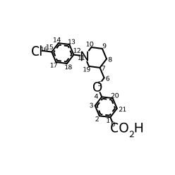 O=C(O)c1ccc(OCC2CCCN(c3ccc(Cl)cc3)C2)cc1